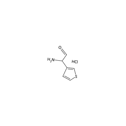 Cl.NC(C=O)c1ccsc1